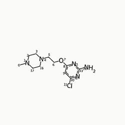 CN1CCN(CCOc2cc(Cl)nc(N)n2)CC1